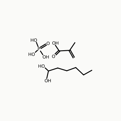 C=C(C)C(=O)O.CCCCCC(O)O.O=P(O)(O)O